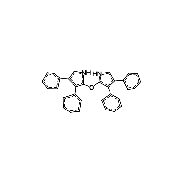 c1ccc(-c2c[nH]c(Oc3[nH]cc(-c4ccccc4)c3-c3ccccc3)c2-c2ccccc2)cc1